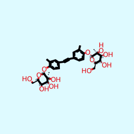 Cc1cc(C#Cc2ccc(O[C@H]3O[C@H](CO)[C@@H](O)[C@H](O)[C@]3(C)O)c(C)c2)ccc1O[C@H]1O[C@H](CO)[C@@H](O)[C@H](O)[C@]1(C)O